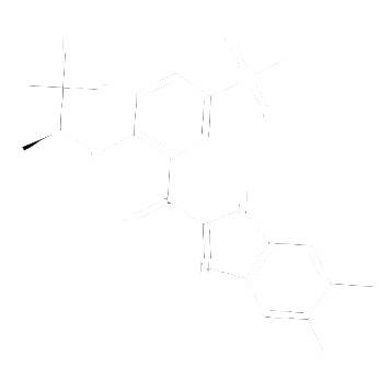 Cc1cc2nc(C(=O)c3cc(S(C)(=O)=O)ccc3O[C@@H](C)C(F)(F)F)[nH]c2cc1C